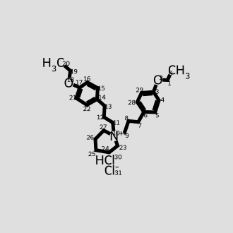 CCOc1ccc(CCC[N+]2(CCCc3ccc(OCC)cc3)CCCCC2)cc1.Cl.[Cl-]